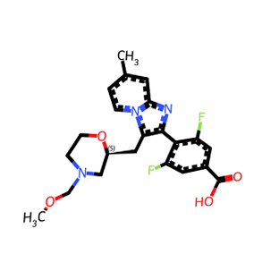 COCN1CCO[C@@H](Cc2c(-c3c(F)cc(C(=O)O)cc3F)nc3cc(C)ccn23)C1